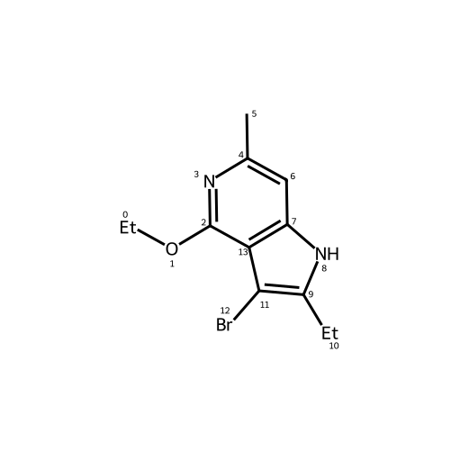 CCOc1nc(C)cc2[nH]c(CC)c(Br)c12